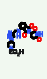 O=C1CCC(N2C(=O)c3cccc(NCc4cn(C5CCN(C(=O)O)CC5)nn4)c3C2=O)C(=O)N1